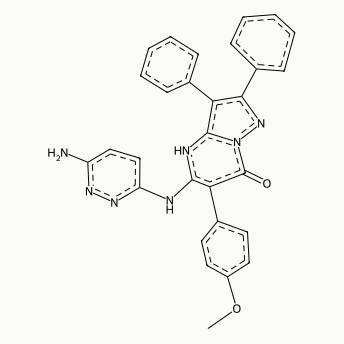 COc1ccc(-c2c(Nc3ccc(N)nn3)[nH]c3c(-c4ccccc4)c(-c4ccccc4)nn3c2=O)cc1